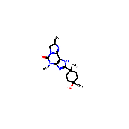 CCCN1C(=O)N2CC(C(C)CC)N=C2c2[nH]c(C3(C)CCC(C)(O)CC3)nc21